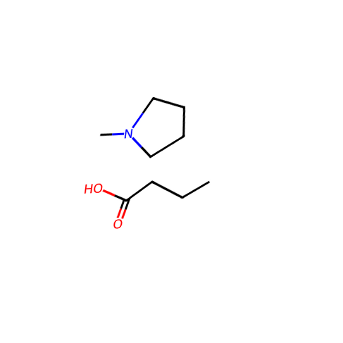 CCCC(=O)O.CN1CCCC1